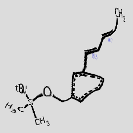 C/C=C/C=C/c1cccc(CO[Si](C)(C)C(C)(C)C)c1